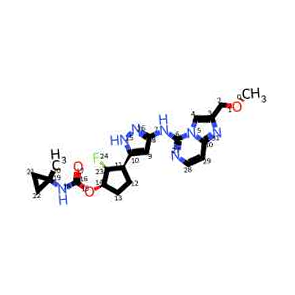 COCc1cn2c(Nc3cc([C@H]4CC[C@@H](OC(=O)NC5(C)CC5)[C@H]4F)[nH]n3)nccc2n1